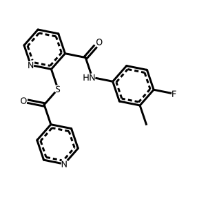 Cc1cc(NC(=O)c2cccnc2SC(=O)c2ccncc2)ccc1F